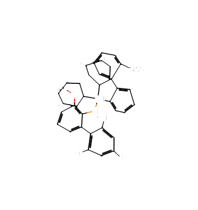 CNc1ccccc1-c1cccc[c]1[Pd-2]([PH]c1c(OC(C)C)cccc1-c1c(C(C)C)cc(C(C)C)cc1C(C)C)([CH]1CCCCC1)[CH]1CCCCC1